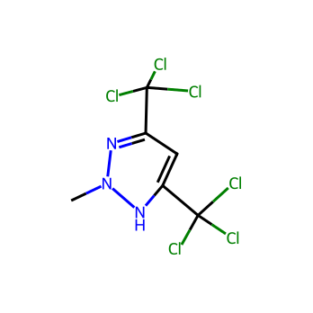 CN1N=C(C(Cl)(Cl)Cl)C=C(C(Cl)(Cl)Cl)N1